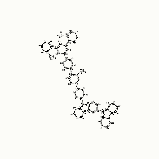 Cc1cc(-c2ccc(-n3c4ccccc4c4cc(-n5c6ccccc6c6ccccc65)ccc43)cc2)ccc1-c1ccc(-c2cc(-c3ccccc3C)nc(-c3ccccc3C)n2)cc1